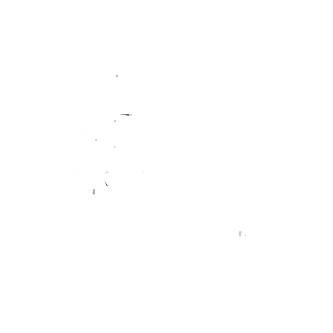 C=CC(=O)NCCCCCC(=O)O[C@@H]([C@H](O)[C@H](O)CO)[C@@H](NC(C)=O)C(=O)C(=O)C=C